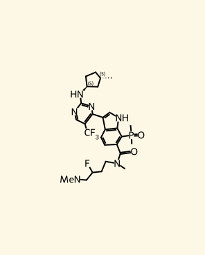 CNCC(F)CCN(C)C(=O)c1ccc2c(-c3nc(N[C@H]4CC[C@H](C)C4)ncc3C(F)(F)F)c[nH]c2c1P(C)(C)=O